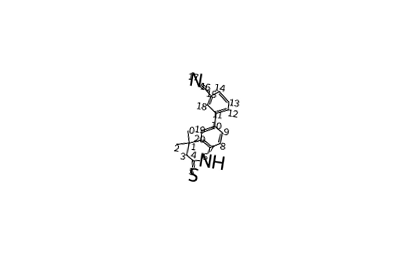 CC1(C)CC(=S)Nc2ccc(-c3cccc(C#N)c3)cc21